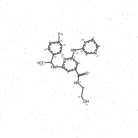 CC(Nc1cc(C(=O)NCCO)cc(Nc2cnccn2)n1)c1ccc(F)cc1